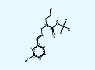 CCCN(C/C=C/c1cccc(F)c1)C(=O)OC(C)(C)C